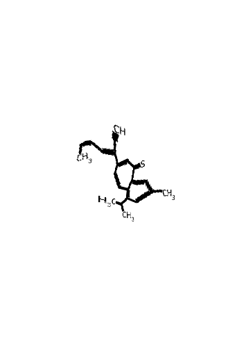 C#C/C(=C\C=C/C)c1ccc2c(C(C)C)cc(C)cc2c(=S)c1